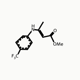 COC(=O)C=C(C)Nc1ccc(C(F)(F)F)cc1